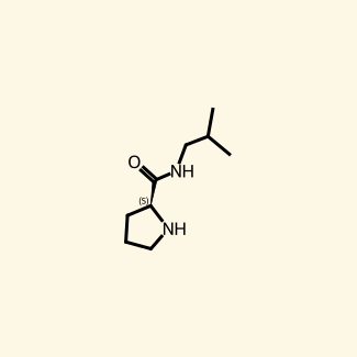 CC(C)CNC(=O)[C@@H]1CCCN1